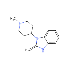 C=C1Nc2ccccc2N1C1CCN(C)CC1